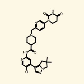 CC1(C)Cc2c(-c3cc(NC(=O)C4CCN(Cc5ccc(N6CCC(=O)NC6=O)cn5)CC4)ncc3Cl)cnn2C1